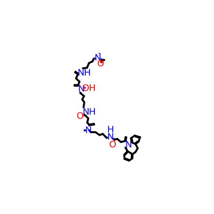 C=C(CCC(=C)N(O)CCCCCNC(=O)CCC(=C)N(C)CCCCCNC(=O)CCC(=C)N1Cc2ccccc2CCc2ccccc21)NCCCCCN(C)C(C)=O